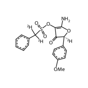 [2H]C([2H])(c1ccccc1)S(=O)(=O)OC1=C(N)O[C@@]([2H])(c2ccc(OC)cc2)C1=O